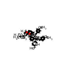 COc1ccc(CN(Cc2ccc(OC)cc2)S(=O)(=O)c2c(S(=O)(=O)N[C@@H]3CCN(C(=O)OC(C)(C)C)C3)ccc(N3CCN[C@@H](CO)CC3)c2-c2nnn(Cc3ccc(OC)cc3)n2)cc1